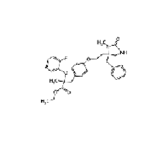 CCOC(=O)C(C)(Cc1ccc(OCCC2(Cc3ccccc3)CNC(=O)N2C)cc1)Oc1ccccc1F